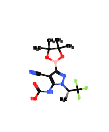 C[C@H](n1nc(B2OC(C)(C)C(C)(C)O2)c(C#N)c1NC(=O)O)C(F)(F)F